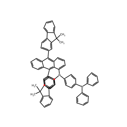 CC1(C)c2ccccc2-c2ccc(-c3c4ccccc4c(-c4ccc5c(c4)C(C)(C)c4ccccc4-5)c4c(N(c5ccccc5)c5ccc(N(c6ccccc6)c6ccccc6)cc5)cccc34)cc21